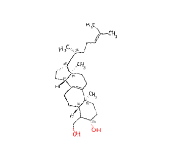 CC(C)=CCC[C@@H](C)[C@H]1CC[C@H]2C3=C(CC[C@]12C)[C@@]1(C)CC[C@H](O)C(CO)[C@@H]1CC3